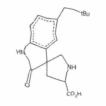 CC(C)(C)Cc1ccc2c(c1)C1(CNC(C(=O)O)C1)C(=O)N2